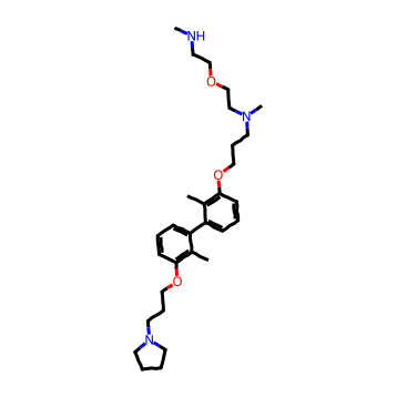 CNCCOCCN(C)CCCOc1cccc(-c2cccc(OCCCN3CCCC3)c2C)c1C